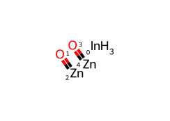 [InH3].[O]=[Zn].[O]=[Zn]